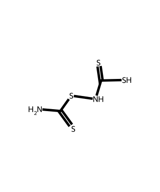 NC(=S)SNC(=S)S